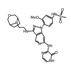 COc1cc(NS(C)(=O)=O)ccc1-n1nc(NCCN2C3CCC2COC3)c2cnc(Nc3ncc[nH]c3=O)cc21